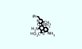 Cc1cc(CC(C)C)ncc1C1(N)C(=O)C(N)c2c(C(=O)O)sc3c(N)ccc1c23